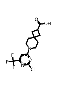 O=C(O)C1CC2(CCN(c3cc(C(F)(F)F)nc(Cl)n3)CC2)C1